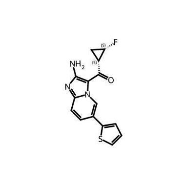 Nc1nc2ccc(-c3cccs3)cn2c1C(=O)[C@@H]1C[C@@H]1F